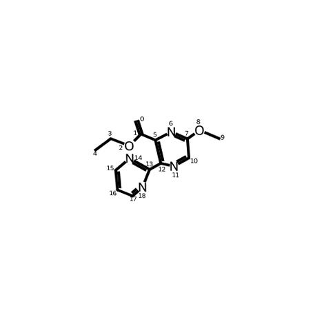 C=C(OCC)c1nc(OC)cnc1-c1ncccn1